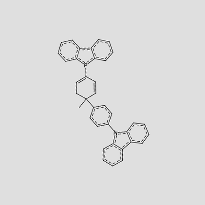 CC1(c2ccc(-n3c4ccccc4c4ccccc43)cc2)C=CC(p2c3ccccc3c3ccccc32)=CC1